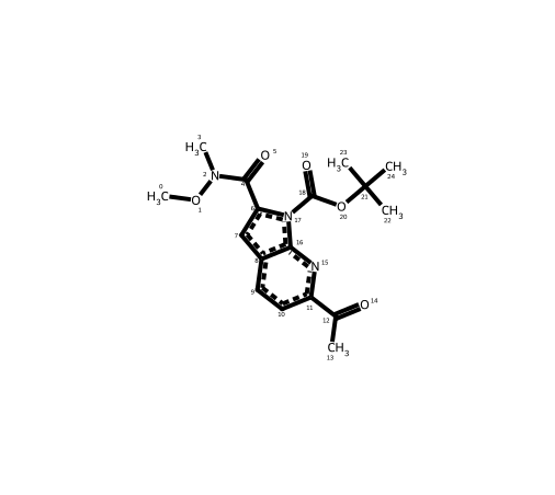 CON(C)C(=O)c1cc2ccc(C(C)=O)nc2n1C(=O)OC(C)(C)C